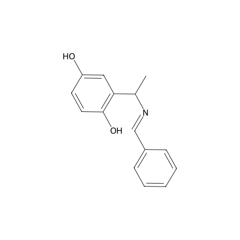 CC(N=Cc1ccccc1)c1cc(O)ccc1O